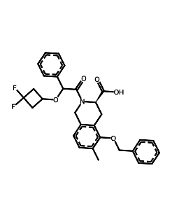 Cc1ccc2c(c1OCc1ccccc1)C[C@H](C(=O)O)N(C(=O)C(OC1CC(F)(F)C1)c1ccccc1)C2